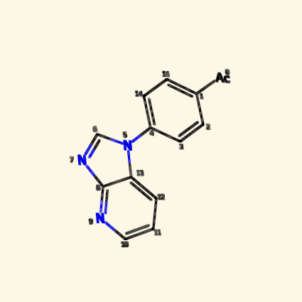 CC(=O)c1ccc(-n2cnc3ncccc32)cc1